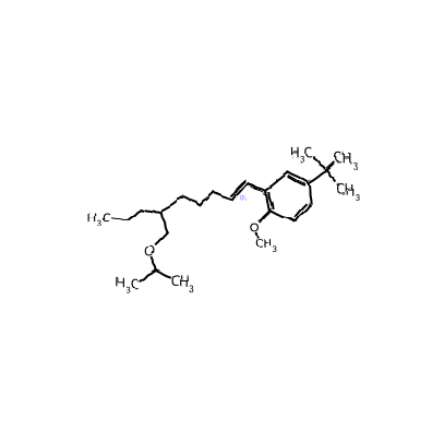 CCCC(CCC/C=C/c1cc(C(C)(C)C)ccc1OC)COC(C)C